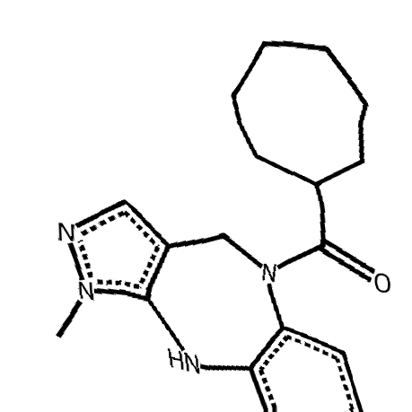 Cn1ncc2c1Nc1ccccc1N(C(=O)C1CCCCCC1)C2